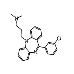 CN(C)CCCN1c2ccccc2N=C(c2cccc(Cl)c2)c2ccccc21